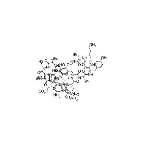 CC[C@H](C)[C@H](N)C(=O)N[C@@H](CS)C(=O)N[C@H](C(=O)N[C@@H](CCC(=O)O)C(=O)N[C@@H](CCCNC(=N)N)C(=O)N1CCC[C@H]1C(=O)N[C@@H](CCC(=O)O)C(=O)N[C@@H](CC(N)=O)C(=O)N[C@@H](CCC(N)=O)C(=O)N[C@@H](Cc1ccc(O)cc1)C(=O)N[C@H](C(=O)N[C@@H](Cc1ccc(O)cc1)C(=O)N[C@@H](CCCCN)C(=O)N[C@H](C(=O)NCC(=O)O)[C@@H](C)CC)C(C)C)[C@@H](C)CC